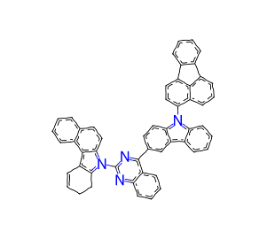 C1=Cc2c(n(-c3nc(-c4ccc5c(c4)c4ccccc4n5-c4ccc5c6c(cccc46)-c4ccccc4-5)c4ccccc4n3)c3ccc4ccccc4c23)CC1